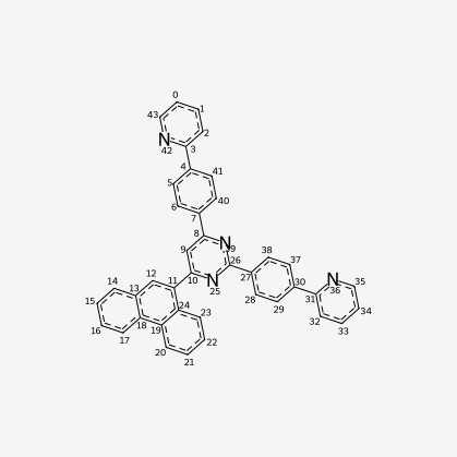 c1ccc(-c2ccc(-c3cc(-c4cc5ccccc5c5ccccc45)nc(-c4ccc(-c5ccccn5)cc4)n3)cc2)nc1